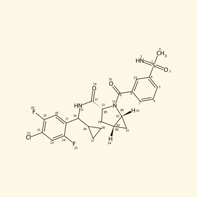 CS(=N)(=O)c1cccc(C(=O)N2[C@@H](C(=O)NC(c3cc(F)c(Cl)cc3F)C3CC3)C[C@H]3C[C@H]32)c1